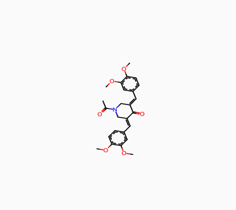 COc1ccc(C=C2CN(C(C)=O)CC(=Cc3ccc(OC)c(OC)c3)C2=O)cc1OC